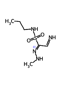 CCCNS(=O)(=O)/C(C=N)=N/NC